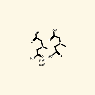 CN(CC(=O)O)CC(=O)O.CN(CC(=O)O)CC(=O)O.[NaH].[NaH]